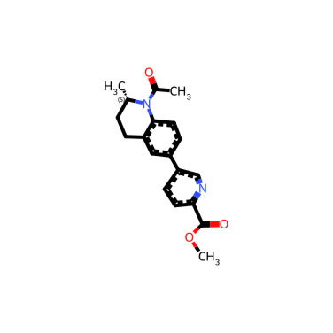 COC(=O)c1ccc(-c2ccc3c(c2)CC[C@H](C)N3C(C)=O)cn1